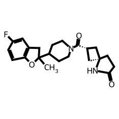 CC1(C2CCN(C(=O)[C@H]3C[C@@]4(CCC(=O)N4)C3)CC2)Cc2cc(F)ccc2O1